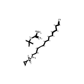 CC(C)(C)OC(N)=O.O=CCCCCCCCCCCCNS(=O)(=O)C1CC1